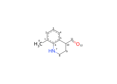 Cc1cccc2c1NCCC2C=O